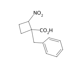 O=C(O)C1(Cc2ccccc2)CCC1[N+](=O)[O-]